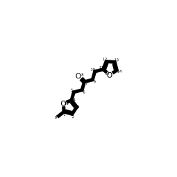 Cc1ccc(CCC(=O)CCc2ccco2)o1